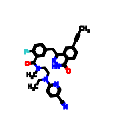 CC#Cc1ccc2c(=O)[nH]nc(Cc3ccc(F)c(C(=O)N(C)CCN(CC)c4ccc(C#N)cn4)c3)c2c1